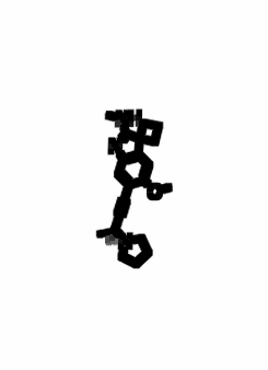 CNC1=Nc2cc(C#C[C@H](C)N3CCCC3)c(OC)cc2C12CCC2